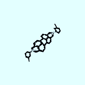 Cc1cccc(-[n+]2cc3ccc4c5ccc6c[n+](-c7cccc(C)c7)cc7ccc(c8ccc(c2)c3c48)c5c67)c1